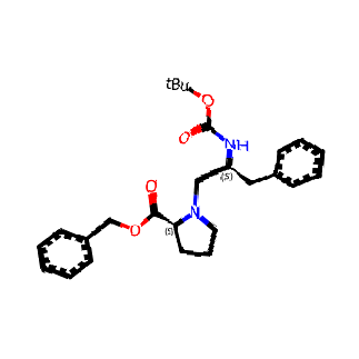 CC(C)(C)OC(=O)N[C@@H](Cc1ccccc1)CN1CCC[C@H]1C(=O)OCc1ccccc1